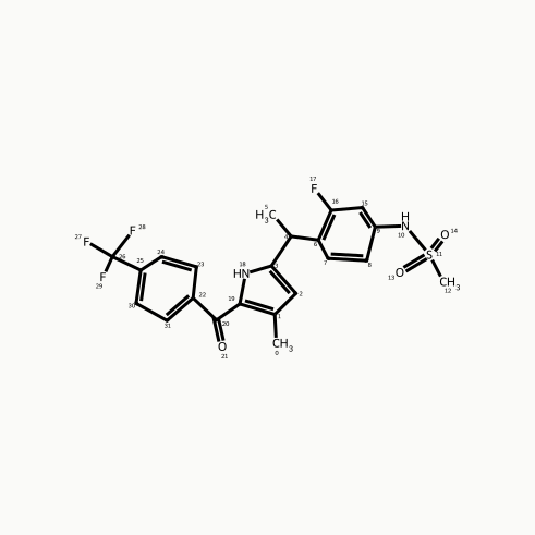 Cc1cc(C(C)c2ccc(NS(C)(=O)=O)cc2F)[nH]c1C(=O)c1ccc(C(F)(F)F)cc1